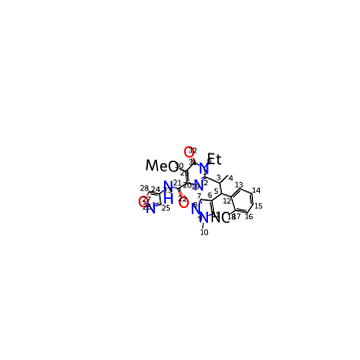 CCn1c(C(C)C(c2cnn(C)c2)c2ccccc2C#N)nc(C(=O)Nc2cnoc2)c(OC)c1=O